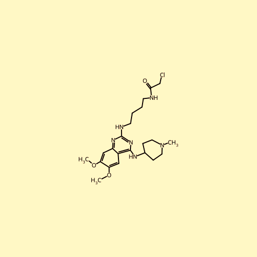 COc1cc2nc(NCCCCNC(=O)CCl)nc(NC3CCN(C)CC3)c2cc1OC